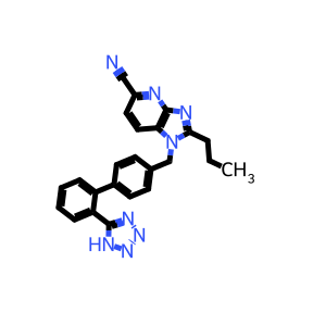 CCCc1nc2nc(C#N)ccc2n1Cc1ccc(-c2ccccc2-c2nnn[nH]2)cc1